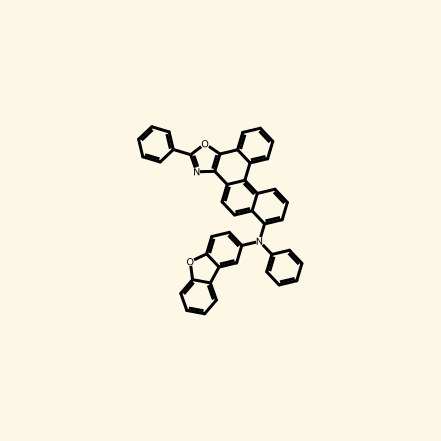 c1ccc(-c2nc3c4ccc5c(N(c6ccccc6)c6ccc7oc8ccccc8c7c6)cccc5c4c4ccccc4c3o2)cc1